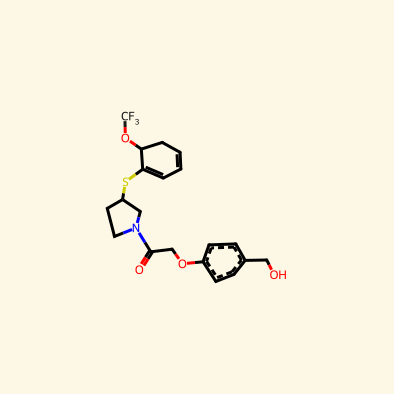 O=C(COc1ccc(CO)cc1)N1CCC(SC2=CC=CCC2OC(F)(F)F)C1